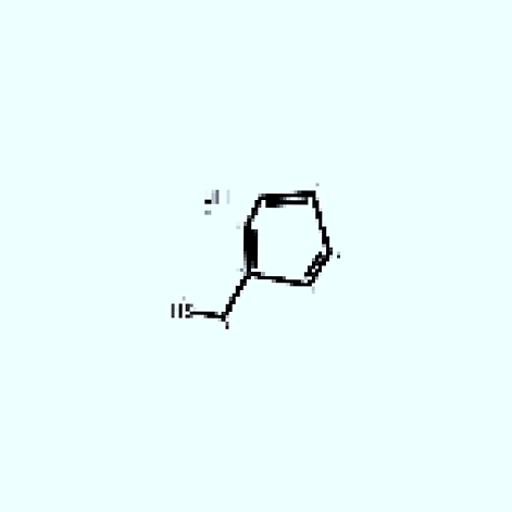 SCc1ccccc1.[LiH]